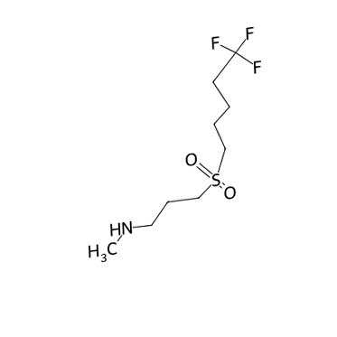 CNCCCS(=O)(=O)CCCCC(F)(F)F